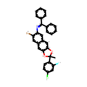 CC1(c2ccc(Cl)cc2F)Oc2cc3cc(Br)c(N=C(c4ccccc4)c4ccccc4)cc3cc2O1